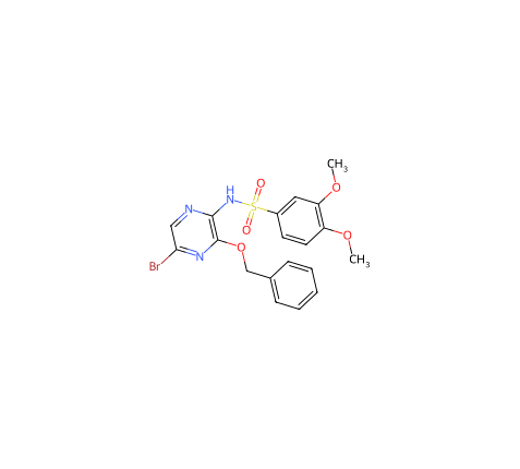 COc1ccc(S(=O)(=O)Nc2ncc(Br)nc2OCc2ccccc2)cc1OC